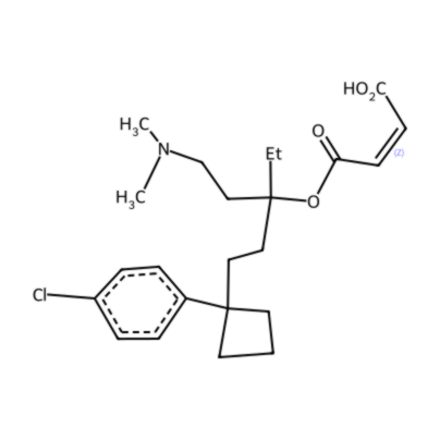 CCC(CCN(C)C)(CCC1(c2ccc(Cl)cc2)CCC1)OC(=O)/C=C\C(=O)O